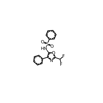 O=S(=O)(Nc1oc(C(F)F)nc1-c1ccccc1)c1ccccc1